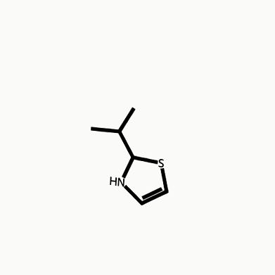 CC(C)C1NC=CS1